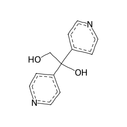 OCC(O)(c1ccncc1)c1ccncc1